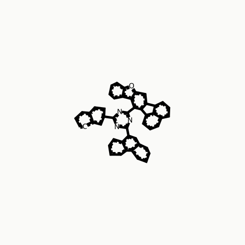 c1ccc2cc(-c3nc(-c4cc5ccccc5c5ccccc45)nc(-c4c5c(cc6oc7ccccc7c46)-c4cccc6cccc-5c46)n3)ccc2c1